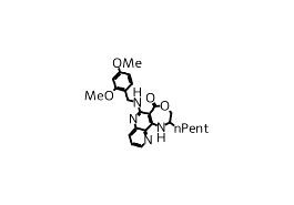 CCCCCC1COC(=O)c2c(NCc3ccc(OC)cc3OC)nc3cccnc3c2N1